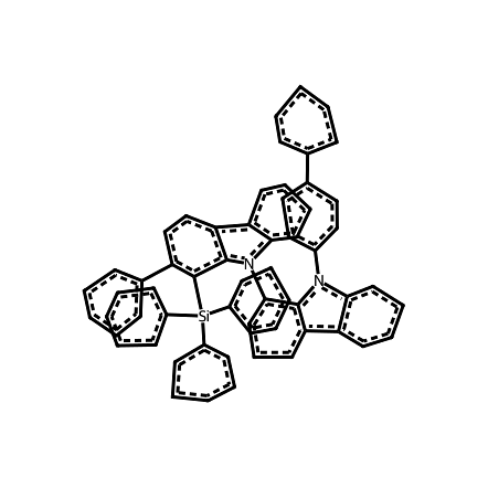 c1ccc(-c2ccc(-n3c4ccccc4c4cccc(-n5c6ccccc6c6ccc(-c7ccccc7)c([Si](c7ccccc7)(c7ccccc7)c7ccccc7)c65)c43)cc2)cc1